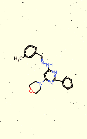 Cc1cccc(C=NNc2cc(N3CCOCC3)nc(-c3ccccc3)n2)c1